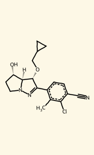 Cc1c(C2=NN3CC[C@H](O)[C@H]3[C@@H]2OCC2CC2)ccc(C#N)c1Cl